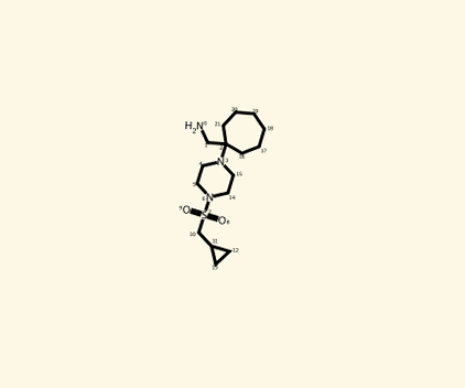 NCC1(N2CCN(S(=O)(=O)CC3CC3)CC2)CCCCCC1